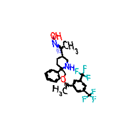 C/C(=N\O)C1CC[C@@](CO[C@H](C)c2cc(C(F)(F)F)cc(C(F)(F)F)c2)(c2ccccc2)NC1